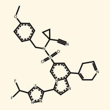 COc1ccc(CN(C2(C#N)CC2)S(=O)(=O)c2cc(C3=CCN=CC3)c3ncc(-c4nnc(C(F)F)s4)n3c2)cc1